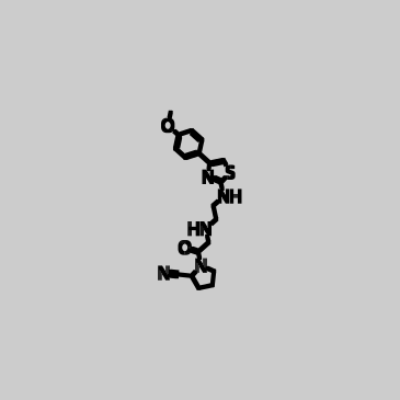 COc1ccc(-c2csc(NCCNCC(=O)N3CCCC3C#N)n2)cc1